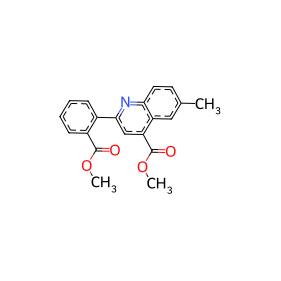 COC(=O)c1ccccc1-c1cc(C(=O)OC)c2cc(C)ccc2n1